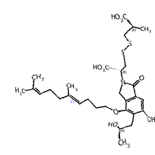 CC(C)=CCC/C(C)=C/CCCOc1c(C[C@@H](C)O)c(O)cc2c1CN([C@@H](CSSC[C@H](C)C(=O)O)C(=O)O)C2=O